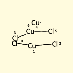 [Cl][Cu][Cl].[Cl][Cu][Cl].[Cu]